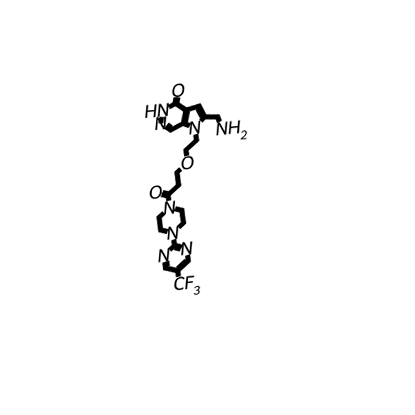 NCc1cc2c(=O)[nH]ncc2n1CCOCCC(=O)N1CCN(c2ncc(C(F)(F)F)cn2)CC1